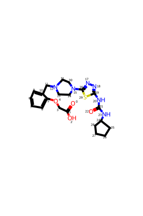 O=C(O)COc1ccccc1CN1CCN(c2nnc(NC(=O)NC3CCCC3)s2)CC1